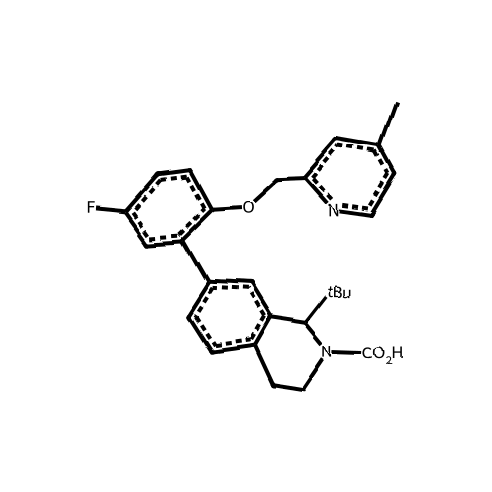 Cc1ccnc(COc2ccc(F)cc2-c2ccc3c(c2)C(C(C)(C)C)N(C(=O)O)CC3)c1